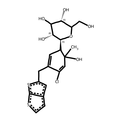 CC1(O)C=C(Cl)C(Cc2cc3ccsc3s2)=CC1[C@@H]1OC(CO)[C@@H](O)C(O)[C@H]1O